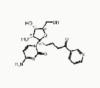 Nc1ccn([C@]2(CCCC(=O)c3cccnc3)O[C@H](CO)[C@@H](O)[C@H]2O)c(=O)n1